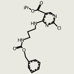 CC(C)OC(=O)c1cnc(Cl)nc1NCCCNC(=O)OCc1ccccc1